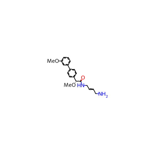 COc1cccc(-c2ccc([C@@H](OC)C(=O)NC/C=C/CN)cc2)c1